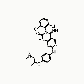 CC(CN(C)C)Oc1ccc(Nc2ncc3c(=N)n(-c4c(Cl)cccc4Cl)c(=O)[nH]c3n2)cc1